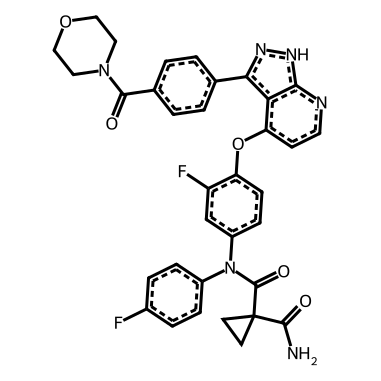 NC(=O)C1(C(=O)N(c2ccc(F)cc2)c2ccc(Oc3ccnc4[nH]nc(-c5ccc(C(=O)N6CCOCC6)cc5)c34)c(F)c2)CC1